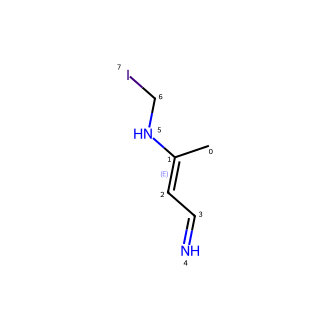 C/C(=C\C=N)NCI